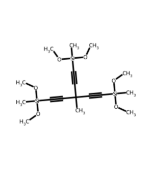 CO[Si](C)(C#CC(C)(C#C[Si](C)(OC)OC)C#C[Si](C)(OC)OC)OC